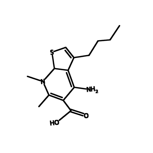 CCCCC1=CSC2C1=C(N)C(C(=O)O)=C(C)N2C